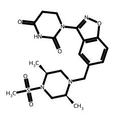 C[C@H]1CN(S(C)(=O)=O)[C@@H](C)CN1Cc1ccc2onc(N3CCC(=O)NC3=O)c2c1